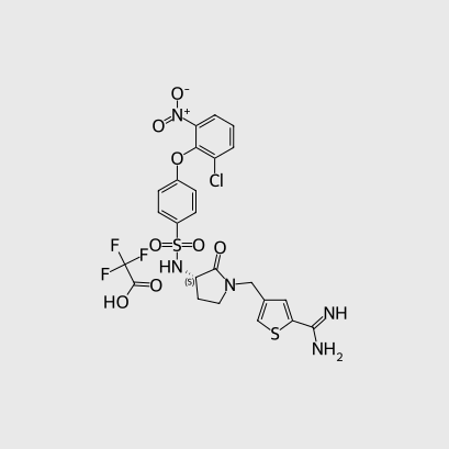 N=C(N)c1cc(CN2CC[C@H](NS(=O)(=O)c3ccc(Oc4c(Cl)cccc4[N+](=O)[O-])cc3)C2=O)cs1.O=C(O)C(F)(F)F